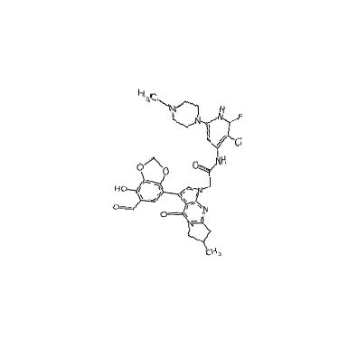 CC1Cc2nc3c(c(-c4cc(C=O)c(O)c5c4OCO5)cn3CC(=O)NC3=C(Cl)C(F)NC(N4CCN(C)CC4)=C3)c(=O)n2C1